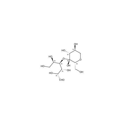 O=C[C@H](O)[C@@H](O)[C@H](O[C@]1(O)[C@H](O)[C@@H](O)CO[C@@H]1CO)[C@H](O)CO